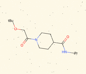 CC(C)NC(=O)C1CCN(C(=O)COC(C)(C)C)CC1